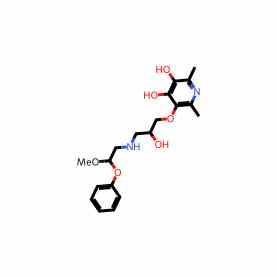 COC(CNCC(O)COc1c(C)nc(C)c(O)c1O)Oc1ccccc1